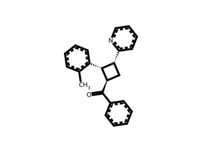 Cc1ccccc1[C@H]1[C@H](C(=O)c2ccccc2)C[C@H]1c1ccccn1